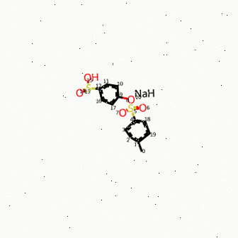 Cc1ccc(S(=O)(=O)Oc2ccc(S(=O)O)cc2)cc1.[NaH]